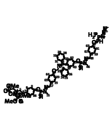 COP(=O)(CN(CCc1ccc(O[PH](=S)N(C)N=Cc2ccc(OCN=P(c3ccccc3)(c3ccccc3)c3ccc(O[PH](=S)N(C)N=Cc4ccc(OPP(P)N=[N+]=[N-])cc4)cc3)cc2)cc1)CP(=O)(OC)OC)OC